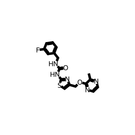 Cc1nccnc1OCc1csc(NC(=O)NCc2cccc(F)c2)n1